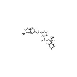 CC(CCc1ccccc1C(C)(C)O)c1cccc(/C=C/c2ccc3ccc(Cl)cc3n2)c1